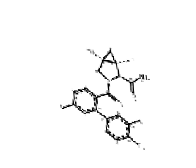 Cc1ccc(C(=O)N2C[C@H]3C[C@H]3[C@H]2C(N)=O)c(-c2ccc(F)c(C)c2)c1